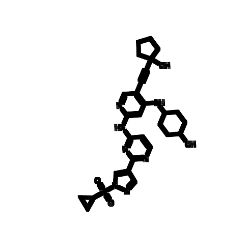 O=S(=O)(C1CC1)n1cc(-c2nccc(Nc3cc(NC4CCC(O)CC4)c(C#CC4(O)CCCC4)cn3)n2)cn1